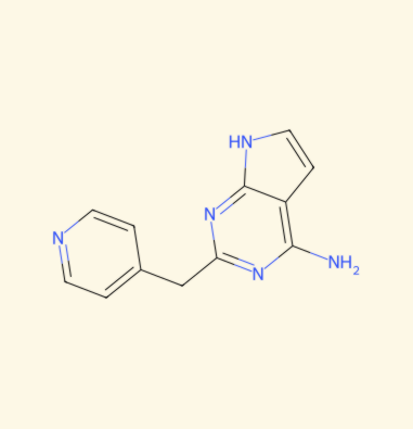 Nc1nc(Cc2ccncc2)nc2[nH]ccc12